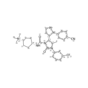 Cc1c(-c2ccnn2-c2ccc(C#N)cc2)n(C(=O)N[C@H]2CC[C@@H]([N+](C)(C)C)CC2)c(=O)n1-c1cccc(C(F)(F)F)c1